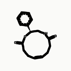 O=C1CCC=CCCC(=O)O[C@H](c2ccccc2)CN1